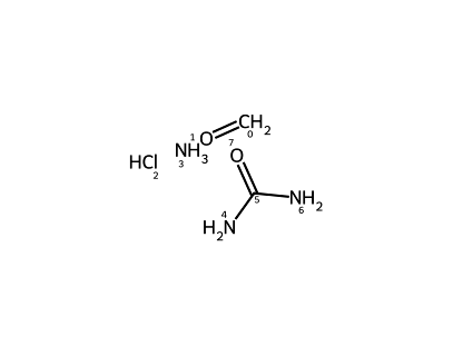 C=O.Cl.N.NC(N)=O